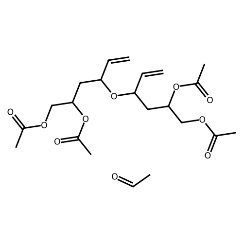 C=CC(CC(COC(C)=O)OC(C)=O)OC(C=C)CC(COC(C)=O)OC(C)=O.CC=O